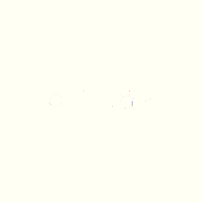 C=CCn1c(=O)c(C)c(NCCNCC(O)COc2ccccc2)n(C)c1=O